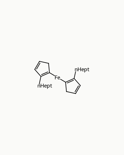 CCCCCCCC1=[C]([Fe][C]2=C(CCCCCCC)C=CC2)CC=C1